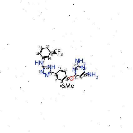 CSc1cc(-c2nnc(NC3=CC(C(F)(F)F)CC=C3)[nH]2)ccc1Oc1cc(N)nc(N)n1